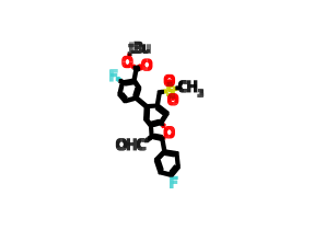 CC(C)(C)OC(=O)c1cc(-c2cc3c(C=O)c(-c4ccc(F)cc4)oc3cc2CS(C)(=O)=O)ccc1F